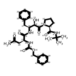 CC(C)(C)NC(=O)[C@@H]1CCCN1C(=O)[C@H](O)[C@H](Cc1ccccc1)NC(=O)[C@H](CC(N)=O)NC(=O)OCc1ccccc1